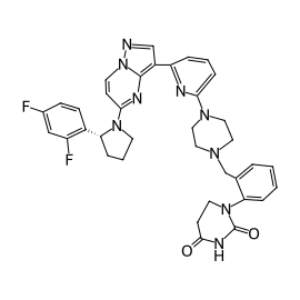 O=C1CCN(c2ccccc2CN2CCN(c3cccc(-c4cnn5ccc(N6CCC[C@@H]6c6ccc(F)cc6F)nc45)n3)CC2)C(=O)N1